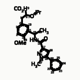 COc1ccc(CC(OC(C)C)C(=O)O)cc1C(C)NC(=O)c1cc(-c2ccccc2)n(C)n1